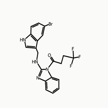 O=C(CCC(F)(F)F)n1c(NCc2c[nH]c3ccc(Br)cc23)nc2ccccc21